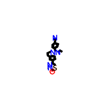 CCN=C(c1ccc(C#N)cc1)N1CCCc2cc(C3=NN(C)C(=O)SC3)ccc21